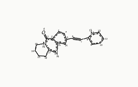 O=c1c2ccc(C#Cc3ccccn3)cc2nc2n1CCCC2